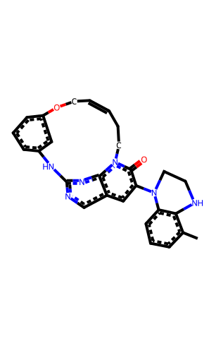 Cc1cccc2c1NCCN2c1cc2cnc3nc2n(c1=O)CC/C=C\COc1cccc(c1)N3